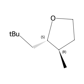 C[C@@H]1CCO[C@H]1CC(C)(C)C